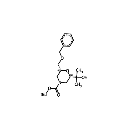 CC(C)(C)OC(=O)N1C[C@H](COCc2ccccc2)O[C@H](C(C)(C)O)C1